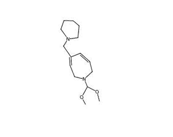 COC(OC)N1CC=CC(CN2CCCCC2)=CC1